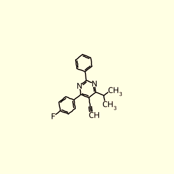 C#Cc1c(-c2ccc(F)cc2)nc(-c2ccccc2)nc1C(C)C